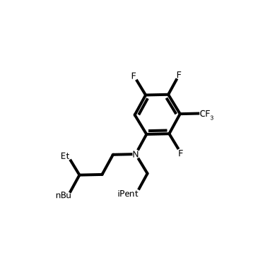 CCCCC(CC)CCN(CC(C)CCC)c1cc(F)c(F)c(C(F)(F)F)c1F